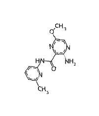 COc1cnc(N)c(C(=O)Nc2cccc(C)n2)n1